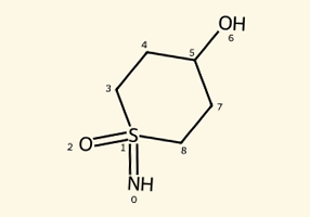 N=S1(=O)CCC(O)CC1